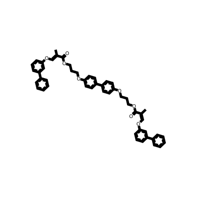 CC(=COc1cccc(-c2ccccc2)c1)C(=O)OCCCOc1ccc(-c2ccc(OCCCOC(=O)C(C)=COc3cccc(-c4ccccc4)c3)cc2)cc1